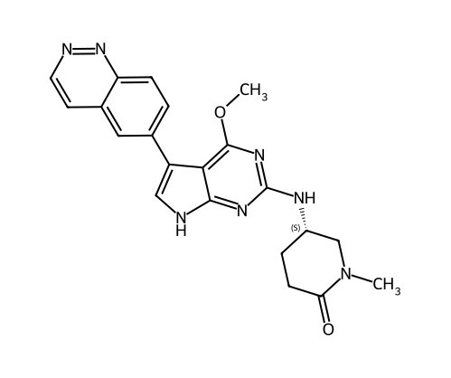 COc1nc(N[C@H]2CCC(=O)N(C)C2)nc2[nH]cc(-c3ccc4nnccc4c3)c12